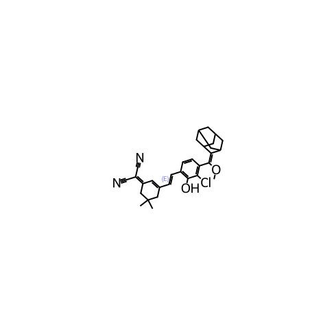 COC(=C1C2CC3CC(C2)CC1C3)c1ccc(/C=C/C2=CC(=C(C#N)C#N)CC(C)(C)C2)c(O)c1Cl